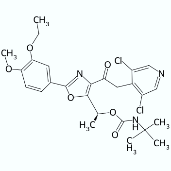 CCOc1cc(-c2nc(C(=O)Cc3c(Cl)cncc3Cl)c([C@H](C)OC(=O)NC(C)(C)C)o2)ccc1OC